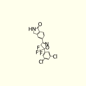 O=C1NCc2cc(C3=NOC(c4cc(Cl)cc(Cl)c4)(C(F)(F)F)C3)ccc21